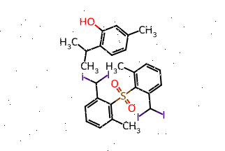 Cc1ccc(C(C)C)c(O)c1.Cc1cccc(C(I)I)c1S(=O)(=O)c1c(C)cccc1C(I)I